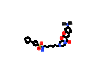 CCN(CC)c1ccc2cc(C(=O)N3CCN(CCCCCCNS(=O)(=O)c4ccc(-c5ccccc5)cc4)CC3)c(=O)oc2c1